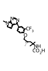 C[C@H](COc1ccc(-c2ncnc3c2ccn3C)cc1C(F)(F)F)CC(C)(C)NC(=O)O